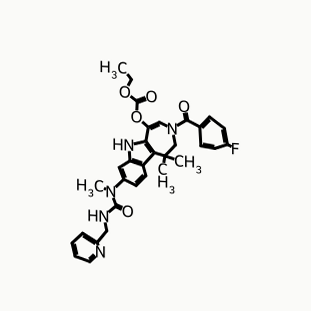 CCOC(=O)OC1=CN(C(=O)c2ccc(F)cc2)CC(C)(C)c2c1[nH]c1cc(N(C)C(=O)NCc3ccccn3)ccc21